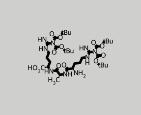 C[C@@H](NC(=O)[C@@H](N)CCCNC(=N)N(C(=O)OC(C)(C)C)C(=O)OC(C)(C)C)C(=O)N[C@H](CCCNC(=N)N(C(=O)OC(C)(C)C)C(=O)OC(C)(C)C)C(=O)O